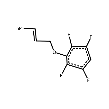 CCC/C=C/COc1c(F)c(F)cc(F)c1F